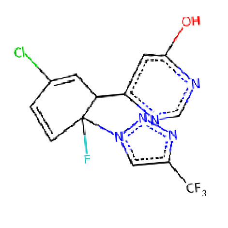 Oc1cc(C2C=C(Cl)C=CC2(F)n2cc(C(F)(F)F)nn2)ncn1